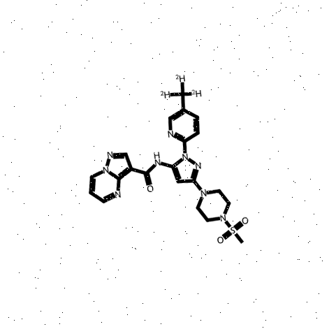 [2H]C([2H])([2H])c1ccc(-n2nc(N3CCN(S(C)(=O)=O)CC3)cc2NC(=O)c2cnn3cccnc23)nc1